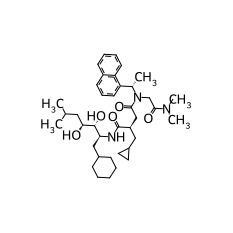 CC(C)C[C@H](O)[C@H](O)[C@H](CC1CCCCC1)NC(=O)[C@@H](CC(=O)N(CC(=O)N(C)C)[C@@H](C)c1cccc2ccccc12)CC1CC1